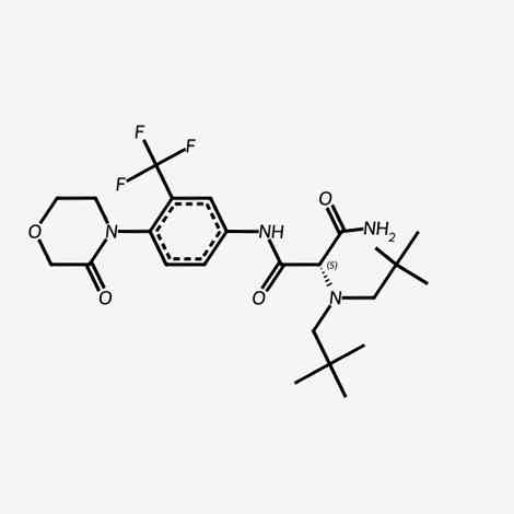 CC(C)(C)CN(CC(C)(C)C)[C@@H](C(N)=O)C(=O)Nc1ccc(N2CCOCC2=O)c(C(F)(F)F)c1